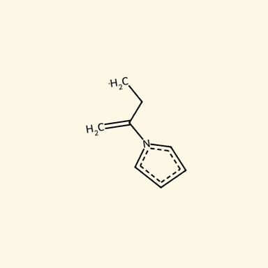 [CH2]CC(=C)n1cccc1